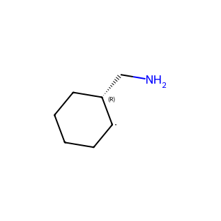 NC[C@@H]1[CH]CCCC1